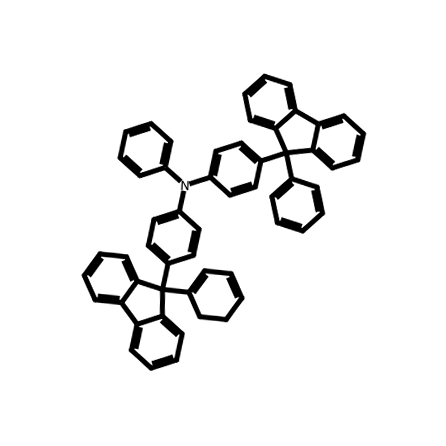 C1=CCCC(C2(c3ccc(N(c4ccccc4)c4ccc(C5(c6ccccc6)c6ccccc6-c6ccccc65)cc4)cc3)c3ccccc3-c3ccccc32)=C1